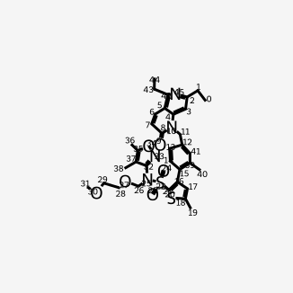 CCc1cc2c(ccc(=O)n2Cc2ccc(-c3cc(C)sc3S(=O)(=O)N(COCCOC)c3noc(C)c3C)c(C)c2)c(CC)n1